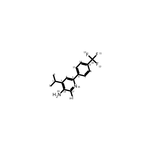 CC(C)c1cc(-c2ccc(C(F)(F)F)cc2)nc(I)c1N